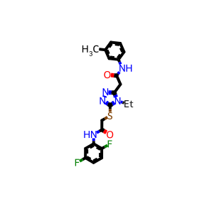 CCn1c(CC(=O)Nc2cccc(C)c2)nnc1SCC(=O)Nc1cc(F)ccc1F